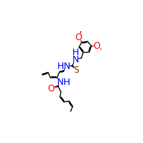 C=C/C=C(\C=C\NC(=S)NCc1cc(OC)cc(OC)c1)NC(=O)C/C=C\C=C/C